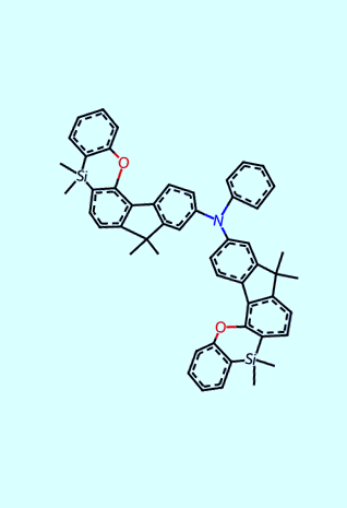 CC1(C)c2cc(N(c3ccccc3)c3ccc4c(c3)C(C)(C)c3ccc5c(c3-4)Oc3ccccc3[Si]5(C)C)ccc2-c2c1ccc1c2Oc2ccccc2[Si]1(C)C